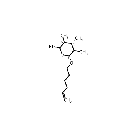 C=CCCCCO[C@@H]1OC(CC)[C@@H](C)[C@H](C)C1C